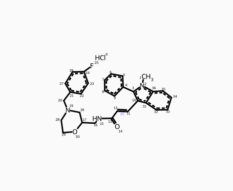 Cl.Cn1c(-c2ccccc2)c(/C=C/C(=O)NCC2CN(Cc3ccc(F)cc3)CCO2)c2ccccc21